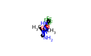 CC#CCn1c(N2CCCC(N)C2)nc2c1c(=O)n(CC(=O)Nc1c(F)c(F)c(F)c(F)c1F)c(=O)n2C